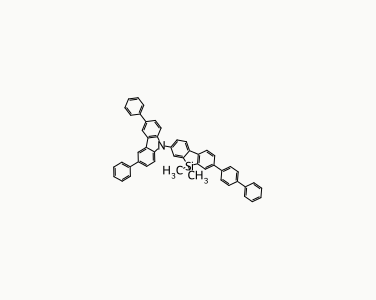 C[Si]1(C)c2cc(-c3ccc(-c4ccccc4)cc3)ccc2-c2ccc(-n3c4ccc(-c5ccccc5)cc4c4cc(-c5ccccc5)ccc43)cc21